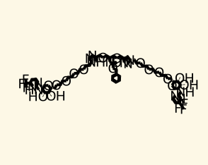 O=C(NC(COCc1cn(CCOCCOCCOCCOC[C@H]2OC[C@H](Nc3nccc(C(F)(F)F)n3)[C@@H](O)[C@H]2O)nn1)COCc1cn(CCOCCOCCOCCOC[C@H]2OC[C@H](Nc3nccc(C(F)(F)F)n3)[C@@H](O)[C@H]2O)nn1)OCc1ccccc1